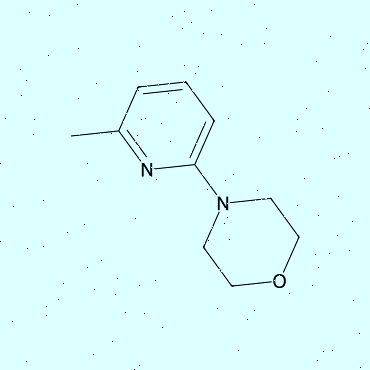 Cc1cccc(N2CCOCC2)n1